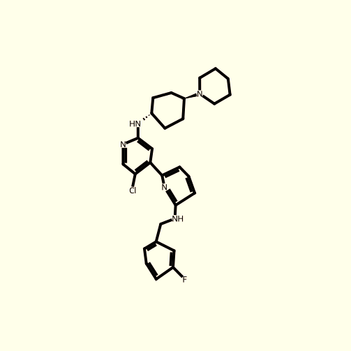 Fc1cccc(CNc2cccc(-c3cc(N[C@H]4CC[C@H](N5CCCCC5)CC4)ncc3Cl)n2)c1